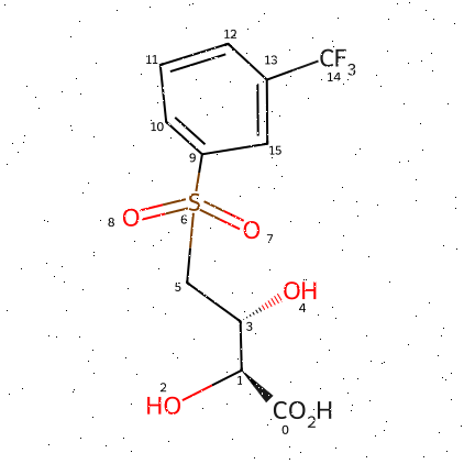 O=C(O)[C@@H](O)[C@@H](O)CS(=O)(=O)c1cccc(C(F)(F)F)c1